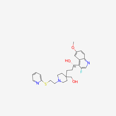 COc1ccc2ncc(F)c([C@@H](O)CCC3(CO)CCN(CCSc4ccccn4)CC3)c2c1